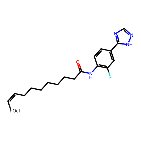 CCCCCCCC/C=C\CCCCCCCC(=O)Nc1ccc(-c2ncn[nH]2)cc1F